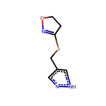 c1n[nH]cc1CSC1=NOCC1